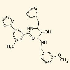 COc1cccc(CNC[C@@H](O)[C@H](Cc2ccccc2)NC(=O)c2cc(C)cc(-c3ccco3)c2)c1